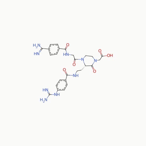 N=C(N)Nc1ccc(C(=O)NCC[C@H]2C(=O)N(CC(=O)O)CCN2C(=O)CNC(=O)c2ccc(C(=N)N)cc2)cc1